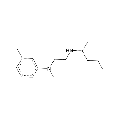 CCCC(C)NCCN(C)c1cccc(C)c1